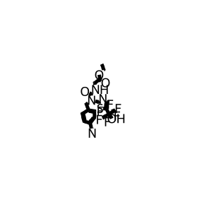 CCOC(=O)CNC(=O)N(Cc1ccc(C#N)cc1)c1ncc(C(O)(C(F)(F)F)C(F)(F)F)s1